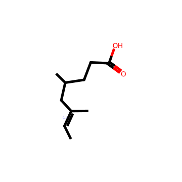 C/C=C(\C)CC(C)CCC(=O)O